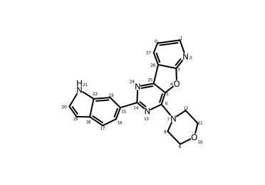 c1cnc2oc3c(N4CCOCC4)nc(-c4ccc5cc[nH]c5c4)nc3c2c1